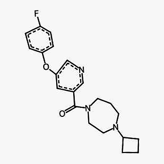 O=C(c1cncc(Oc2ccc(F)cc2)c1)N1CCCN(C2CCC2)CC1